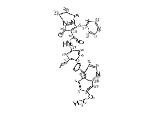 COc1ccc2c(Oc3ccc(NC(=O)c4c(-c5ccncc5)n5n(c4=O)CCC5)cc3F)ccnc2c1